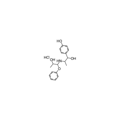 CC(O)C(NC(C)C(O)c1ccc(O)cc1)Oc1ccccc1.Cl